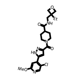 CCC1(CNC(=O)C2CCN(C(=O)c3cc(-c4cc(OC)ncc4Cl)[nH]n3)CC2)COC1